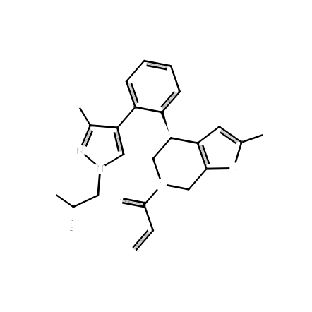 C=CC(=O)N1Cc2sc(Cl)cc2[C@H](c2ccccc2-c2cn(C[C@H](C)O)nc2C(F)(F)F)C1